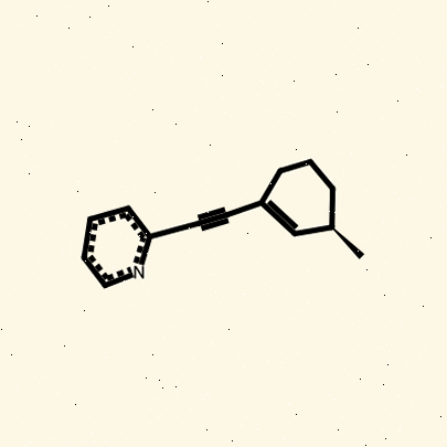 C[C@H]1C=C(C#Cc2ccccn2)CCC1